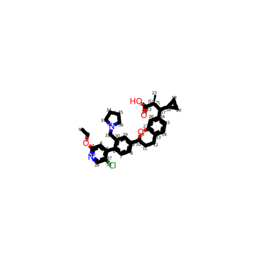 CCOc1cc(-c2ccc(C3CCc4ccc(C(C5CC5)[C@H](C)C(=O)O)cc4O3)cc2CN2CCCC2)c(Cl)cn1